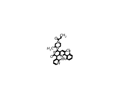 C=CC(=O)N1CCN(C2=NC(=O)C(c3cccnc3C(C)(C)C)c3nc(-c4ccccc4F)c(Cl)cc32)[C@@H](C)C1